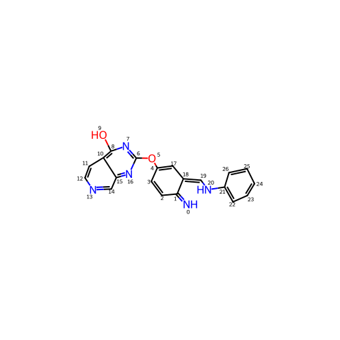 N=C1C=CC(Oc2nc(O)c3ccncc3n2)=C/C1=C/Nc1ccccc1